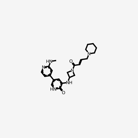 CNc1cc(-c2c[nH]c(=O)c(NC3CN(C(=O)/C=C/CN4CCCCC4)C3)c2)ccn1